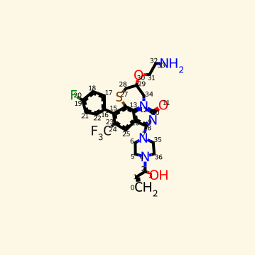 C=CC(O)N1CCN(c2nc(=O)n3c4c(c(-c5ccc(F)cc5)c(C(F)(F)F)cc24)SCC(OCCN)C3)CC1